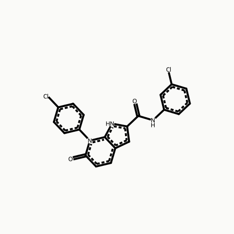 O=C(Nc1cccc(Cl)c1)c1cc2ccc(=O)n(-c3ccc(Cl)cc3)c2[nH]1